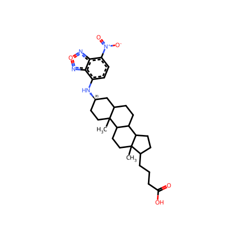 CC12CCC3C(CCC4C[C@H](Nc5ccc([N+](=O)[O-])c6nonc56)CCC43C)C1CCC2CCCC(=O)O